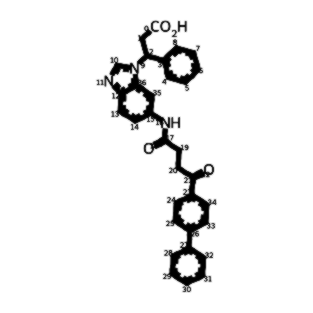 O=C(O)CC(c1ccccc1)n1cnc2ccc(NC(=O)CCC(=O)c3ccc(-c4ccccc4)cc3)cc21